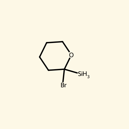 [SiH3]C1(Br)CCCCO1